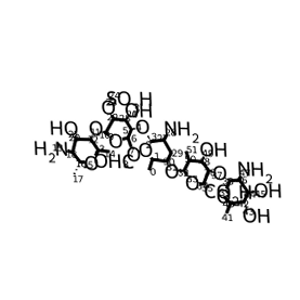 CC1O[C@H](O[C@@H]2C(OC=O)O[C@@H](O[C@@H]3C(C)O[C@H](C)C(N)[C@H]3O)C(OS(=O)(=O)O)[C@H]2O)C(N)C[C@@H]1O[C@@H]1OC(C(=O)O)[C@@H](O[C@H]2OC(C)[C@@H](O)[C@H](O)C2N)[C@H](O)C1C